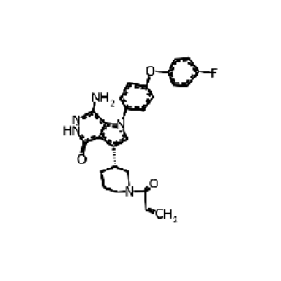 C=CC(=O)N1CCC[C@H](c2cn(-c3ccc(Oc4ccc(F)cc4)cc3)c3c(N)n[nH]c(=O)c23)C1